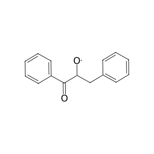 [O]C(Cc1ccccc1)C(=O)c1ccccc1